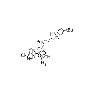 CC(C)N(CCCCc1nc2cc(C(C)(C)C)ccc2[nH]1)CC1C[C@@H](n2ccc3c(Cl)ncnc32)[C@@H]2OC(C)(C)O[C@H]12